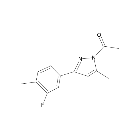 CC(=O)n1nc(-c2ccc(C)c(F)c2)cc1C